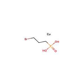 O=P(O)(O)CCCBr.[Cu]